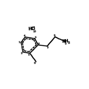 Cc1ccccc1CCN.Cl